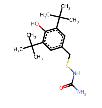 CC(C)(C)c1cc(CSNC(N)=O)cc(C(C)(C)C)c1O